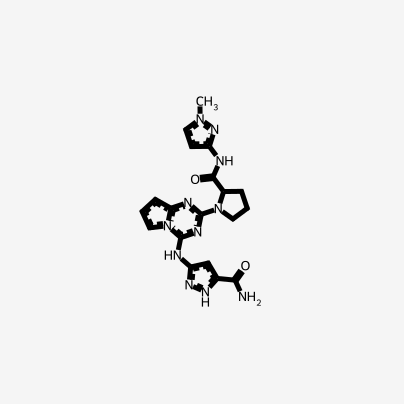 Cn1ccc(NC(=O)C2CCCN2c2nc(Nc3cc(C(N)=O)[nH]n3)n3cccc3n2)n1